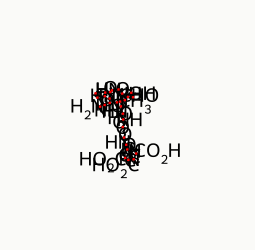 CN1[C@H](CCCNC(=O)CNC(=O)COCCOCCNC(=O)CN2CCN(CC(=O)O)CCN(CC(=O)O)CCN(CC(=O)O)CC2)C(=O)N[C@@H](CCCNC(=N)N)C(=O)N[C@@H](Cc2ccc3ccccc3c2)C(=O)NCC(=O)N[C@]1(C=O)Cc1ccc(O)cc1